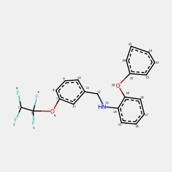 FC(F)C(F)(F)Oc1cccc(CNc2ccccc2Oc2ccccc2)c1